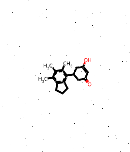 Cc1c(C)c2c(c(C3CC(=O)C=C(O)C3)c1C)CCC2